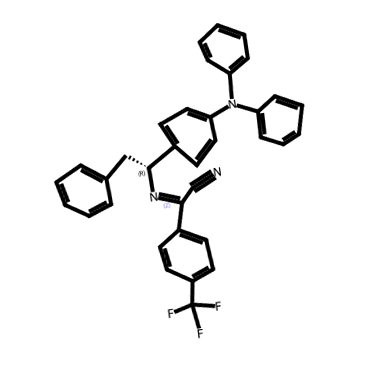 N#C/C(=N\[C@H](Cc1ccccc1)c1ccc(N(c2ccccc2)c2ccccc2)cc1)c1ccc(C(F)(F)F)cc1